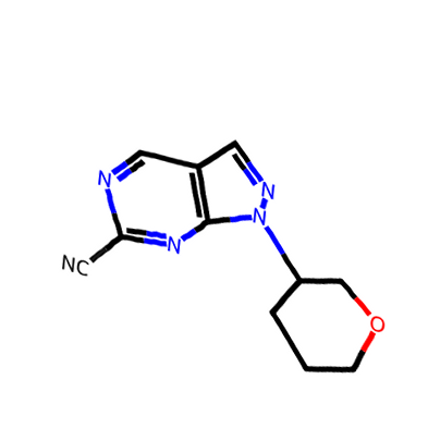 N#Cc1ncc2cnn(C3CCCOC3)c2n1